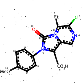 CCc1c(Cl)ncc2c(C(=O)O)n(-c3ccc(OC)cc3)c(=O)n12